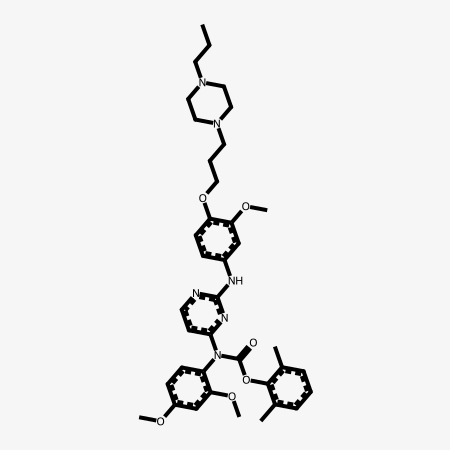 CCCN1CCN(CCCOc2ccc(Nc3nccc(N(C(=O)Oc4c(C)cccc4C)c4ccc(OC)cc4OC)n3)cc2OC)CC1